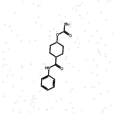 CC(C)(C)C(=O)ON1CCC(C(=O)Nc2ccccc2)CC1